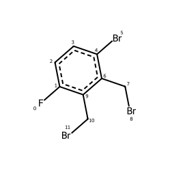 Fc1ccc(Br)c(CBr)c1CBr